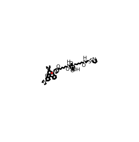 CCN(CC)c1ccc2c(-c3ccccc3C(=O)N3CCN(C(=O)CCCCC(=O)NC(CS(=O)(=O)O)C(=O)NCCCCCC(=O)NCCSSc4ccccn4)CC3)c3ccc(N(CC)CC)cc3[o+]c2c1